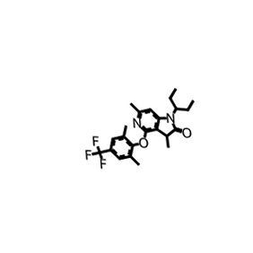 CCC(CC)N1C(=O)C(C)c2c1cc(C)nc2Oc1c(C)cc(C(F)(F)F)cc1C